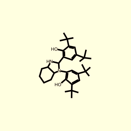 CC(C)(C)c1cc(C2NC3CCCCC3N2c2cc(C(C)(C)C)cc(C(C)(C)C)c2O)c(O)c(C(C)(C)C)c1